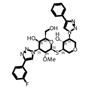 CO[C@@H]1[C@@H](n2cc(-c3cccc(F)c3)nn2)[C@@H](O)[C@@H](CO)O[C@H]1S[C@@H]1COC[C@H](n2cc(-c3ccccc3)nn2)[C@H]1O